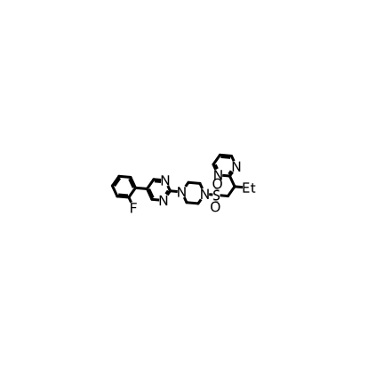 [CH2]CC(CS(=O)(=O)N1CCN(c2ncc(-c3ccccc3F)cn2)CC1)c1ncccn1